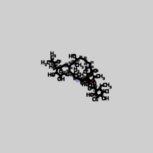 CCc1c(Cl)c(O)c(Cl)c(O)c1C(=O)OC1C(C)OC(OC/C2=C\C=C\CC(O)/C(C)=C/C3CCC4(C)OC(OC3/C(C)=C/C(C)=C/CC(C(C)=O)OC2=O)C(O)C(O)C4OC(=O)C(C)C)C(OC)C1O